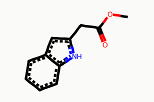 COC(=O)[CH]c1cc2ccccc2[nH]1